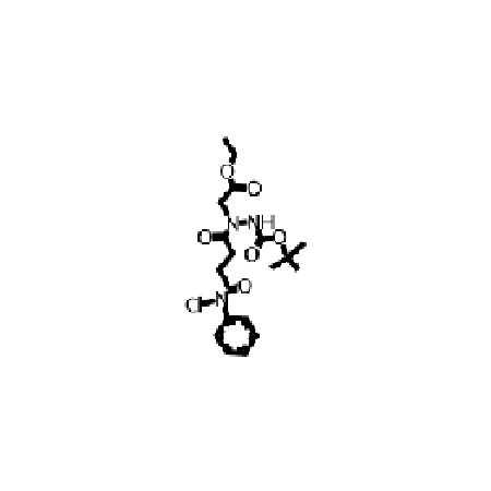 CCOC(=O)CN(NC(=O)OC(C)(C)C)C(=O)CCC(=O)N(Cl)c1ccccc1